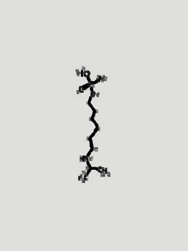 [3H]P(=O)(O)OCCCCCCNC(C)C